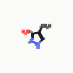 O.O=C(O)c1cn[nH]c1